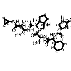 CCC[C@H](NC(=O)[C@@H]1[C@H]2CCC[C@H]2CN1C(=O)[C@@H](NC(=O)[C@@H](NC(=O)[C@@H]1CNC(=O)N1)C1CCCCC1)C(C)(C)C)C(O)C(=O)NC1CC1